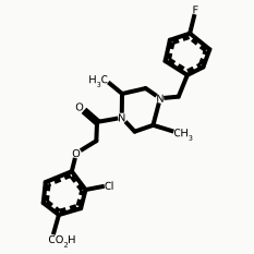 CC1CN(C(=O)COc2ccc(C(=O)O)cc2Cl)C(C)CN1Cc1ccc(F)cc1